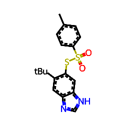 Cc1ccc(S(=O)(=O)Sc2cc3[nH]cnc3cc2C(C)(C)C)cc1